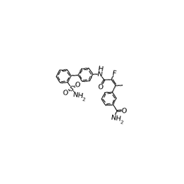 CC(=C(F)C(=O)Nc1ccc(-c2ccccc2S(N)(=O)=O)cc1)c1cccc(C(N)=O)c1